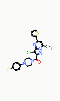 O=C(c1nn2c(C(F)(F)F)cc(-c3cccs3)nc2c1Cl)N1CCN(c2ccc(F)cc2)CC1